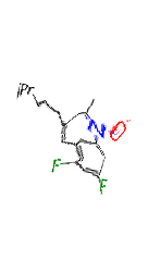 Cc1c(CCC(C)C)cc2c(F)cc(F)cc2[n+]1[O-]